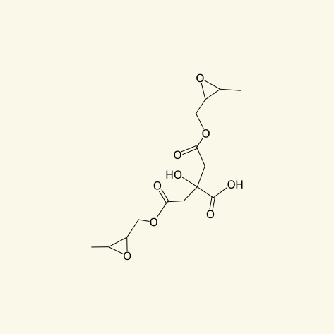 CC1OC1COC(=O)CC(O)(CC(=O)OCC1OC1C)C(=O)O